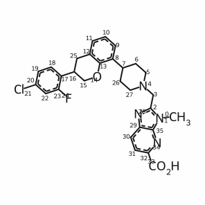 Cn1c(CN2CCC(c3cccc4c3OCC(c3ccc(Cl)cc3F)C4)CC2)nc2ccc(C(=O)O)nc21